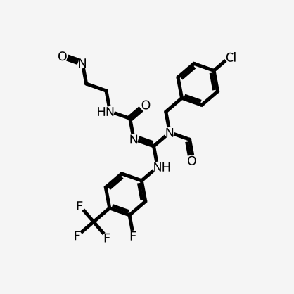 O=CN(Cc1ccc(Cl)cc1)/C(=N\C(=O)NCCN=O)Nc1ccc(C(F)(F)F)c(F)c1